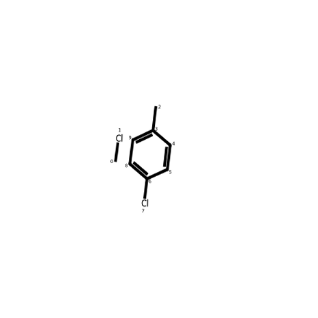 CCl.Cc1ccc(Cl)cc1